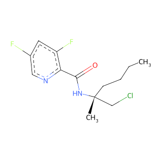 CCCC[C@](C)(CCl)NC(=O)c1ncc(F)cc1F